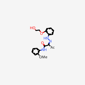 COc1ccccc1NC(=O)/C(=N\Nc1ccccc1OCCO)C(C)=O